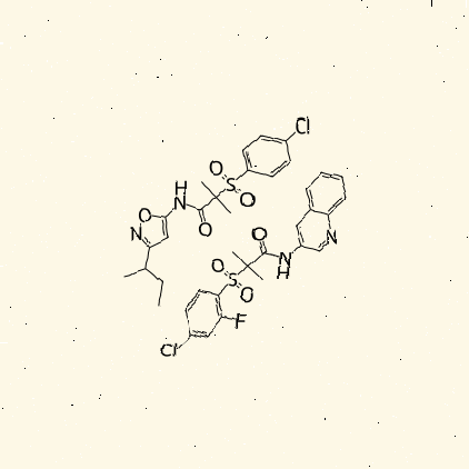 CC(C)(C(=O)Nc1cnc2ccccc2c1)S(=O)(=O)c1ccc(Cl)cc1F.CCC(C)c1cc(NC(=O)C(C)(C)S(=O)(=O)c2ccc(Cl)cc2)on1